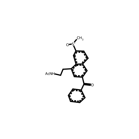 CC(=O)NCCc1cc(C(=O)c2ccccc2)cc2ccc([S+](C)[O-])cc12